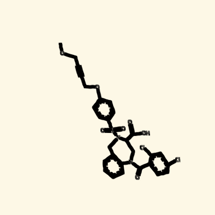 COCC#CCOc1ccc(S(=O)(=O)N2Cc3ccccc3N(C(=O)c3ccc(Cl)cc3Cl)CC2C(=O)O)cc1